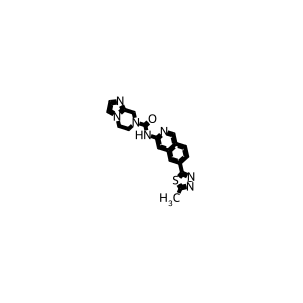 Cc1nnc(-c2ccc3cnc(NC(=O)N4CCn5ccnc5C4)cc3c2)s1